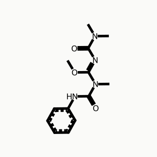 COC(=NC(=O)N(C)C)N(C)C(=O)Nc1ccccc1